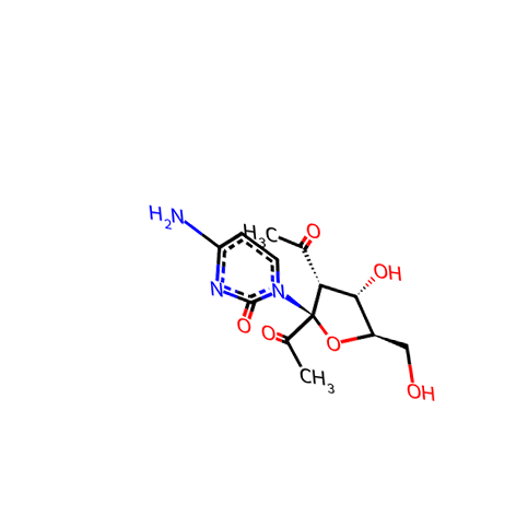 CC(=O)[C@@H]1[C@H](O)[C@@H](CO)O[C@@]1(C(C)=O)n1ccc(N)nc1=O